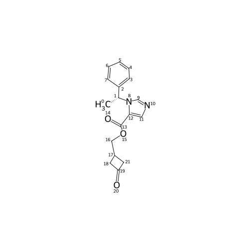 C[C@H](c1ccccc1)n1cncc1C(=O)OCC1CC(=O)C1